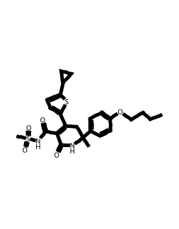 CCCCOc1ccc(C2(C)CC(c3ccc(C4CC4)s3)=C(C(=O)NS(C)(=O)=O)C(=O)N2)cc1